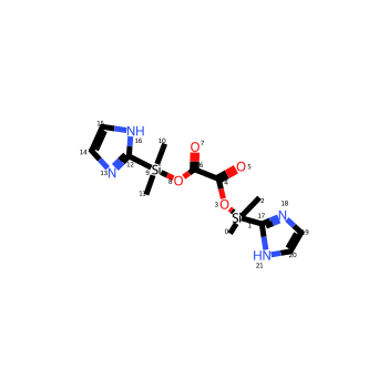 C[Si](C)(OC(=O)C(=O)O[Si](C)(C)c1ncc[nH]1)c1ncc[nH]1